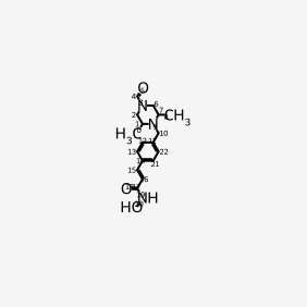 CC1CN(C=O)CC(C)N1Cc1ccc(/C=C/C(=O)NO)cc1